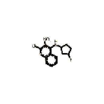 O=[N+]([O-])c1c(Cl)nc2ccccc2c1NC1CCC(F)C1